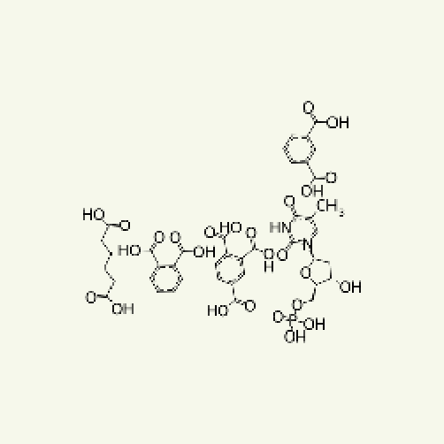 Cc1cn([C@H]2C[C@H](O)[C@@H](COP(=O)(O)O)O2)c(=O)[nH]c1=O.O=C(O)CCCCC(=O)O.O=C(O)c1ccc(C(=O)O)c(C(=O)O)c1.O=C(O)c1cccc(C(=O)O)c1.O=C(O)c1ccccc1C(=O)O